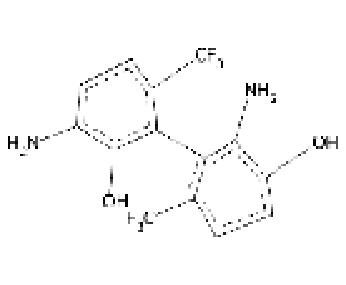 Nc1ccc(C(F)(F)F)c(-c2c(C(F)(F)F)ccc(O)c2N)c1O